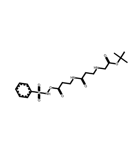 CC(C)(C)OC(=O)CNCCC(=O)NCCC(=O)ONS(=O)(=O)c1ccccc1